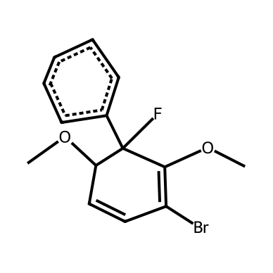 COC1=C(Br)C=CC(OC)C1(F)c1ccccc1